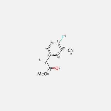 COC(=O)C(C)c1ccc(F)c(C#N)c1